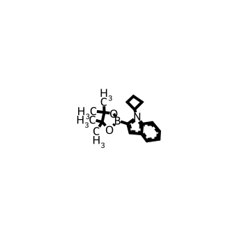 CC1(C)OB(c2cc3ccccc3n2C2CCC2)OC1(C)C